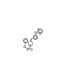 CN(C(=O)N1CCC(=Cc2cccc(Oc3ncccn3)c2)CC1)[C@@H]1C[C@H]1c1ccccc1